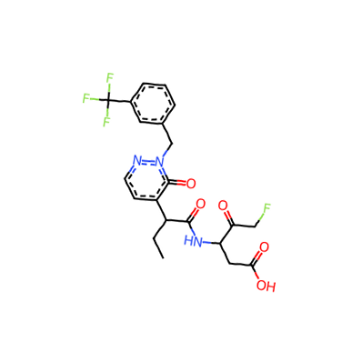 CCC(C(=O)NC(CC(=O)O)C(=O)CF)c1ccnn(Cc2cccc(C(F)(F)F)c2)c1=O